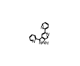 c1ccc(-c2cc3c(-c4ccccn4)n[nH]c3cn2)nc1